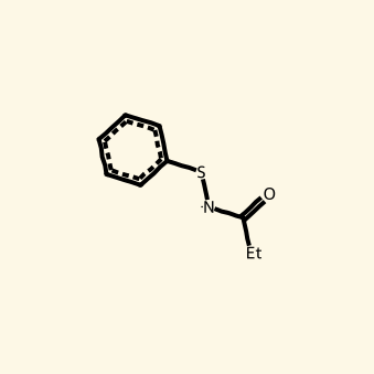 CCC(=O)[N]Sc1ccccc1